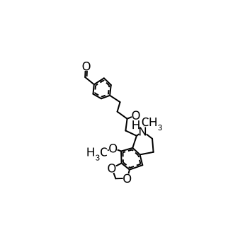 COc1c2c(cc3c1C(CC(O)CCc1ccc(C=O)cc1)N(C)CC3)OCO2